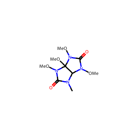 CON1C(=O)N(OC)C2(OC)C1N(C)C(=O)N2OC